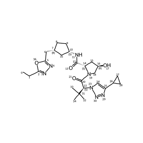 CCc1nnc(C[C@@H]2CC[C@H](NC(=O)[C@@H]3C[C@@H](O)CN3C(=O)[C@@H](n3cc(C4CC4)nn3)C(C)(C)C)C2)o1